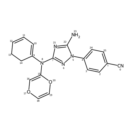 N#Cc1ccc(-n2nc(N(C3=CC=CCC3)C3=COC=CO3)nc2N)cc1